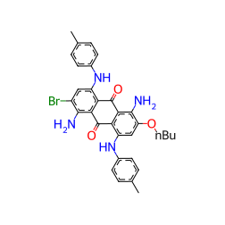 CCCCOc1cc(Nc2ccc(C)cc2)c2c(c1N)C(=O)c1c(Nc3ccc(C)cc3)cc(Br)c(N)c1C2=O